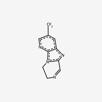 FC(F)(F)c1cnc2c(c1)nc1n2CCN=C1